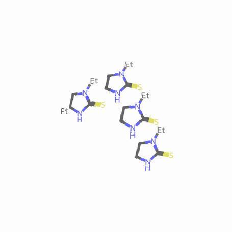 CCN1CCNC1=S.CCN1CCNC1=S.CCN1CCNC1=S.CCN1CCNC1=S.[Pt]